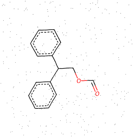 O=[C]OCC(c1ccccc1)c1ccccc1